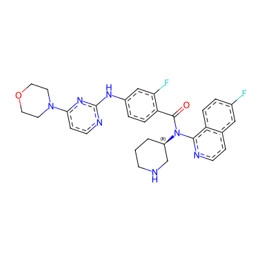 O=C(c1ccc(Nc2nccc(N3CCOCC3)n2)cc1F)N(c1nccc2cc(F)ccc12)[C@@H]1CCCNC1